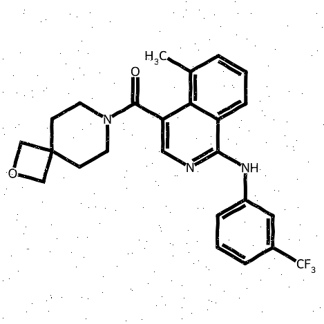 Cc1cccc2c(Nc3cccc(C(F)(F)F)c3)ncc(C(=O)N3CCC4(CC3)COC4)c12